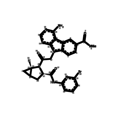 CNC(=O)c1ccc2c(c1)c1c(N)ncnc1n2CC(=O)N1[C@@H]2CC2C[C@H]1C(=O)Nc1cccc(Br)n1